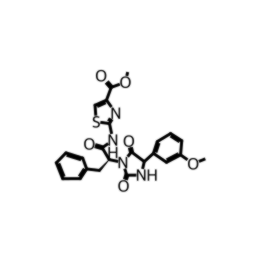 COC(=O)c1csc(NC(=O)[C@H](Cc2ccccc2)N2C(=O)NC(c3cccc(OC)c3)C2=O)n1